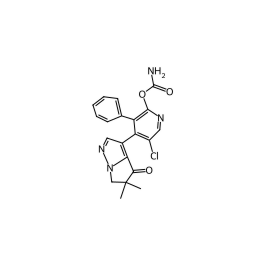 CC1(C)Cn2ncc(-c3c(Cl)cnc(OC(N)=O)c3-c3ccccc3)c2C1=O